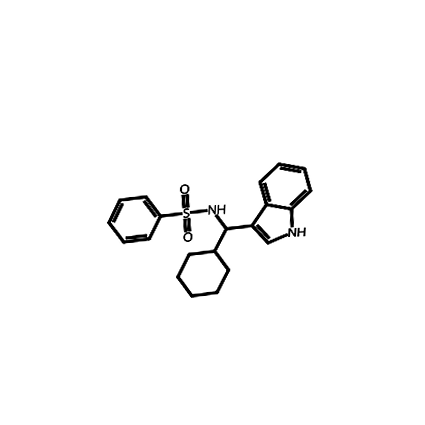 O=S(=O)(NC(c1c[nH]c2ccccc12)C1CCCCC1)c1ccccc1